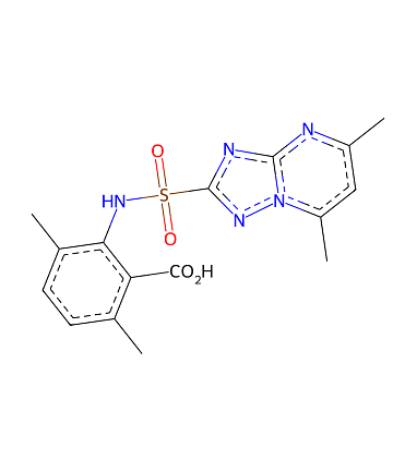 Cc1cc(C)n2nc(S(=O)(=O)Nc3c(C)ccc(C)c3C(=O)O)nc2n1